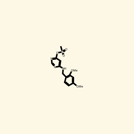 COc1ccc(CNc2cc(OS(C)(=O)=O)ncn2)c(OC)c1